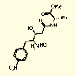 CC[C@@H](C)[C@H](NC(=O)CC(O)[C@@H](N)Cc1ccc([N+](=O)[O-])cc1)C(=O)OC.Cl